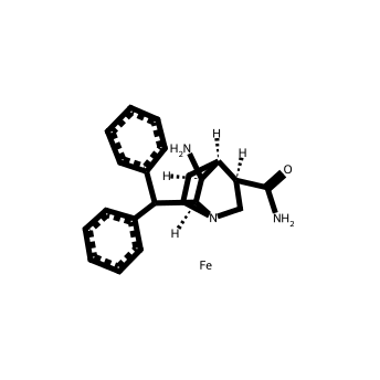 NC(=O)[C@H]1CN2CC[C@@H]1[C@H](N)[C@@H]2C(c1ccccc1)c1ccccc1.[Fe]